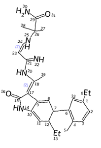 CCc1ccc(C)c(C2C=C3C(=CC2CC)NC(=O)/C3=C(/C)NC(=N)/C=C\NC(C)(C)C(N)=O)c1